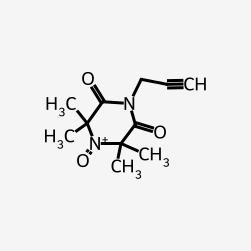 C#CCN1C(=O)C(C)(C)[N+](=O)C(C)(C)C1=O